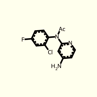 CC(=O)N(c1cc(N)ccn1)c1ccc(F)cc1Cl